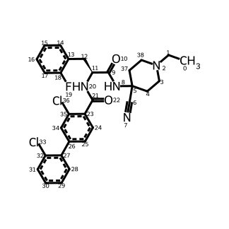 CCN1CCC(C#N)(NC(=O)[C@H](Cc2ccccc2F)NC(=O)c2ccc(-c3ccccc3Cl)cc2Cl)CC1